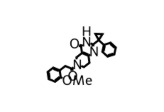 COc1ccccc1CC(=O)N1CCc2nc(C3(c4ccccc4)CC3)[nH]c(=O)c2C1